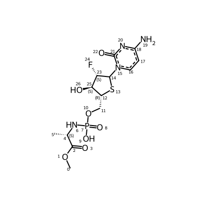 COC(=O)[C@H](C)NP(=O)(O)OC[C@H]1SC(n2ccc(N)nc2=O)[C@@H](F)[C@@H]1O